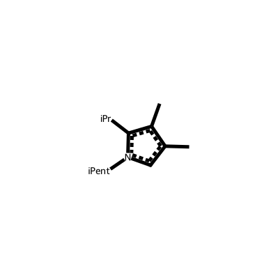 CCCC(C)n1cc(C)c(C)c1C(C)C